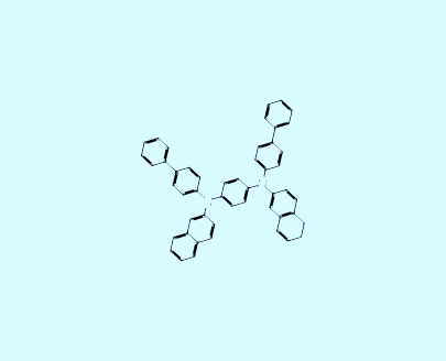 C1=Cc2cc(N(c3ccc(-c4ccccc4)cc3)c3ccc(N(c4ccc(-c5ccccc5)cc4)c4ccc5ccccc5c4)cc3)ccc2CC1